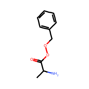 CC(N)C(=O)OOCc1ccccc1